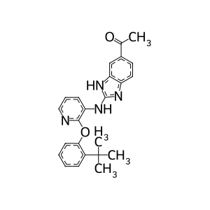 CC(=O)c1ccc2nc(Nc3cccnc3Oc3ccccc3C(C)(C)C)[nH]c2c1